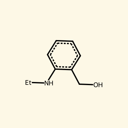 CCNc1ccccc1CO